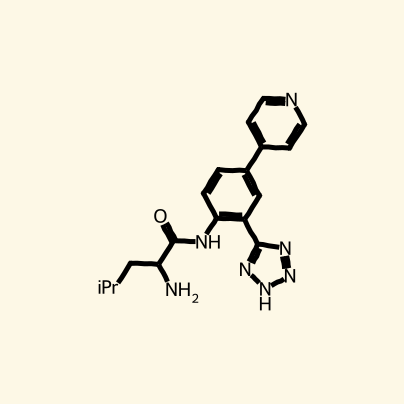 CC(C)CC(N)C(=O)Nc1ccc(-c2ccncc2)cc1-c1nn[nH]n1